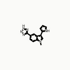 Cn1cc(-c2ccc[nH]2)c2cc(-c3nn[nH]n3)ccc21